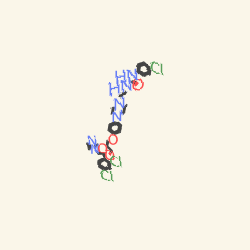 O=C(NCCN1CCN(c2ccc(OCC3COC(Cn4ccnc4)(c4ccc(Cl)cc4Cl)O3)cc2)CC1)Nc1ccc(Cl)cc1